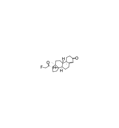 C[C@]12CC[C@H]3[C@@H](CCC4=CC(=O)CC[C@@]43C)[C@@H]1CC[C@@H]2C(=O)CF